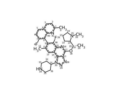 Cc1ccc2ccc(F)c(-c3c(C)cc4c(nc(O[C@@H](C)C5CCCN5C)c5nnn(C6CCNCC6)c54)c3F)c2n1